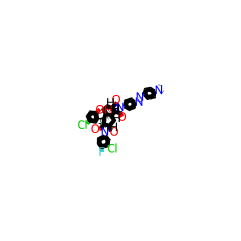 CN(C)c1ccc(/N=N/c2ccc(N3C(=O)[C@H]4[C@H](CC=C5[C@H]4C[C@H]4C(=O)N(c6ccc(F)c(Cl)c6)C(=O)[C@@]4(C)[C@H]5c4cc(Cl)ccc4O)C3=O)cc2)cc1